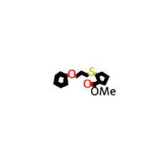 COC(=O)C1CCCC1SCCCOc1ccccc1